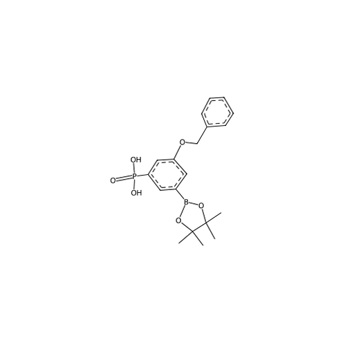 CC1(C)OB(c2cc(OCc3ccccc3)cc(P(=O)(O)O)c2)OC1(C)C